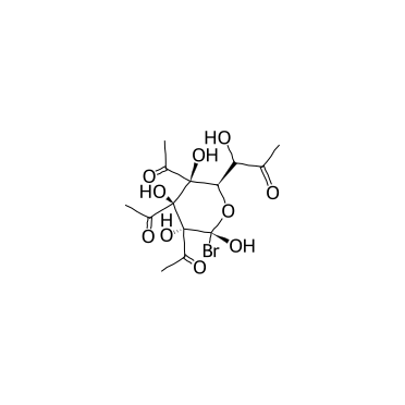 CC(=O)C(O)[C@H]1O[C@](O)(Br)[C@@](O)(C(C)=O)[C@](O)(C(C)=O)[C@]1(O)C(C)=O